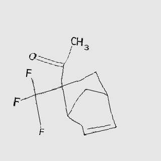 CC(=O)C1(C(F)(F)F)CC2C=CC1C2